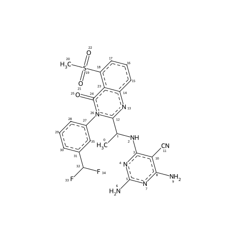 CC(Nc1nc(N)nc(N)c1C#N)c1nc2cccc(S(C)(=O)=O)c2c(=O)n1-c1cccc(C(F)F)c1